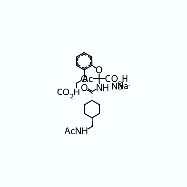 CC(=O)NC[C@H]1CC[C@H](C(=O)NC(Oc2ccccc2OCC(=O)O)(C(C)=O)C(=O)O)CC1.[Na].[Na]